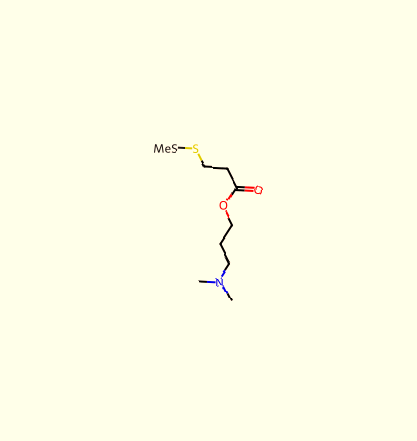 CSSCCC(=O)OCCCN(C)C